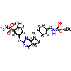 Cc1ccc(Cc2ncc3cnn(C[C@H]4CC[C@H](CNC(=O)OC(C)(C)C)CC4)c3n2)cc1S(N)(=O)=O